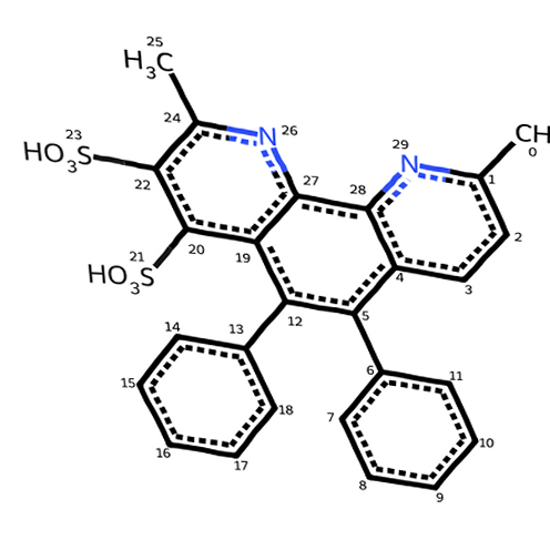 Cc1ccc2c(-c3ccccc3)c(-c3ccccc3)c3c(S(=O)(=O)O)c(S(=O)(=O)O)c(C)nc3c2n1